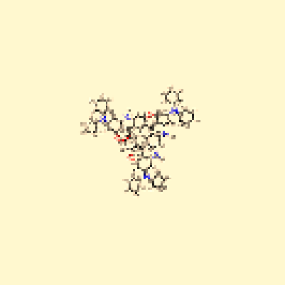 CN1c2cc3c(cc2B2c4ccccc4Oc4cc(N(c5ccccc5)c5ccccc5)cc1c42)B1c2cc4c(cc2N(C)c2cc(N(c5ccccc5)c5ccccc5)cc(c21)O3)N(C)c1cc(N(c2ccccc2)c2ccccc2)cc2c1B4c1ccccc1O2